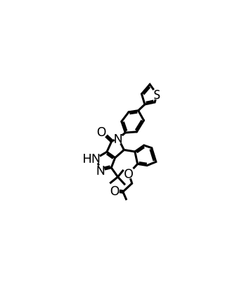 CC(=O)COc1ccccc1C1c2c(C(C)(C)C)n[nH]c2C(=O)N1c1ccc(-c2ccsc2)cc1